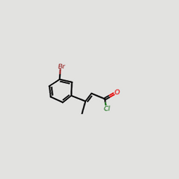 CC(=CC(=O)Cl)c1cccc(Br)c1